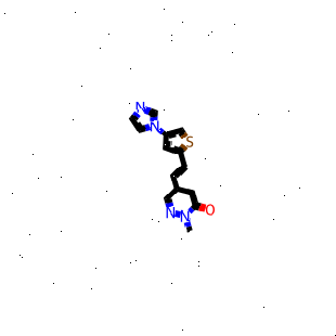 CN1N=CC(C=Cc2cc(-n3ccnc3)cs2)CC1=O